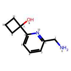 NCc1cccc(C2(O)CCC2)n1